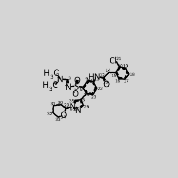 CN(C)C=NS(=O)(=O)c1cc(NC(=O)Cc2ccccc2Cl)ccc1-c1cnn(C2CCCCO2)c1